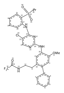 COc1cc(-c2ccccc2)c(CCNC(=O)C(F)(F)F)cc1Nc1ncc(Cl)c(Nc2ccccc2S(=O)(=O)C(C)C)n1